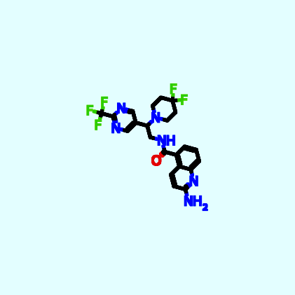 Nc1ccc2c(C(=O)NCC(c3cnc(C(F)(F)F)nc3)N3CCC(F)(F)CC3)cccc2n1